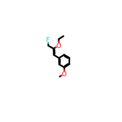 CCOC(=Cc1cccc(OC)c1)CF